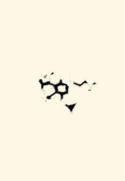 CN(C)CCNc1cc(OC2CC2)c(C#N)c(-c2c(Br)cnn2C)c1F